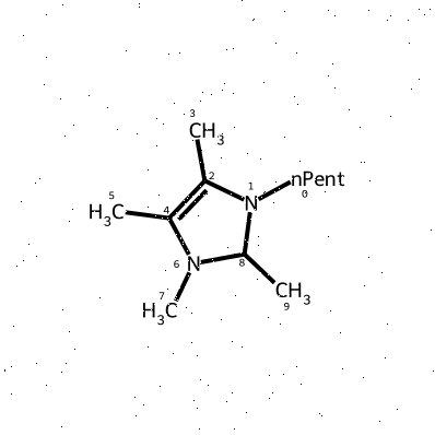 CCCCCN1C(C)=C(C)N(C)C1C